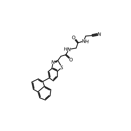 N#CCNC(=O)CNC(=O)Cc1nc2cc(-c3cccc4ccccc34)ccc2s1